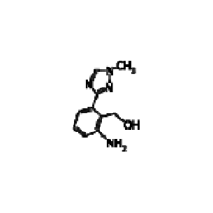 Cn1cnc(-c2cccc(N)c2CO)n1